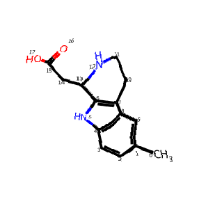 Cc1ccc2[nH]c3c(c2c1)CCNC3CC(=O)O